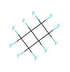 FC1(F)C(F)(F)C2(F)C(F)(F)C(F)(F)C12F